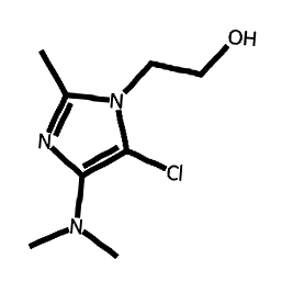 Cc1nc(N(C)C)c(Cl)n1CCO